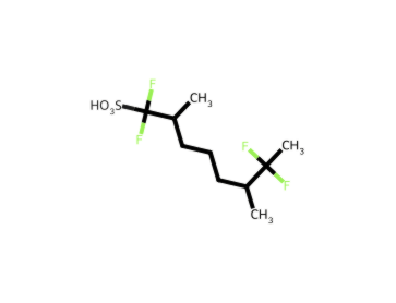 CC(CCCC(C)C(F)(F)S(=O)(=O)O)C(C)(F)F